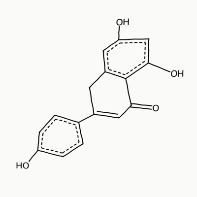 O=C1C=C(c2ccc(O)cc2)Cc2cc(O)cc(O)c21